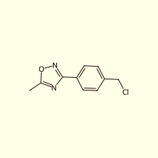 Cc1nc(-c2ccc(CCl)cc2)no1